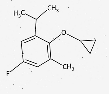 Cc1cc(F)cc(C(C)C)c1OC1CC1